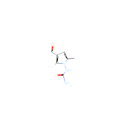 Cc1cc(C=O)c(C)n1NC(N)=O